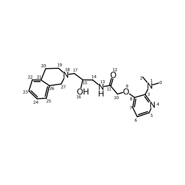 CN(C)c1ncccc1OCC(=O)NCC(O)CN1CCc2ccccc2C1